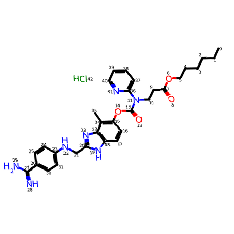 CCCCCCOC(=O)CCN(C(=O)Oc1ccc2[nH]c(CNc3ccc(C(=N)N)cc3)nc2c1C)c1ccccn1.Cl